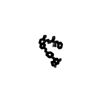 O=C(NCC1CCCCC1)OCN1C(=O)CCc2ccc(CCN3CCN(c4cc(F)cc5sccc45)CC3)cc21